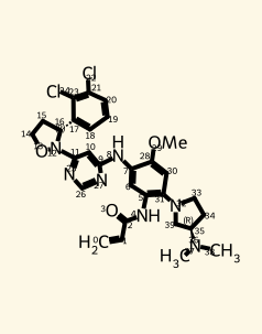 C=CC(=O)Nc1cc(Nc2cc(N3OCC[C@@H]3c3cccc(Cl)c3Cl)ncn2)c(OC)cc1N1CC[C@@H](N(C)C)C1